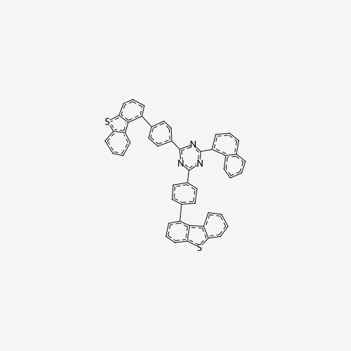 c1ccc2c(-c3nc(-c4ccc(-c5cccc6sc7ccccc7c56)cc4)nc(-c4ccc(-c5cccc6sc7ccccc7c56)cc4)n3)cccc2c1